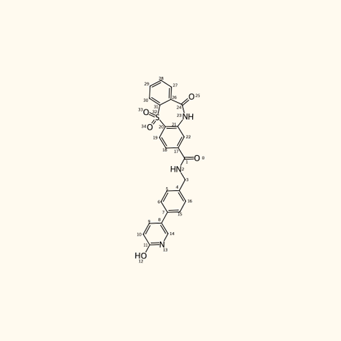 O=C(NCc1ccc(-c2ccc(O)nc2)cc1)c1ccc2c(c1)NC(=O)c1ccccc1S2(=O)=O